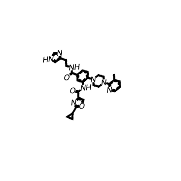 Cc1cccnc1N1CCN(c2ccc(C(=O)NCCc3c[nH]cn3)cc2NC(=O)c2coc(C3CC3)n2)CC1